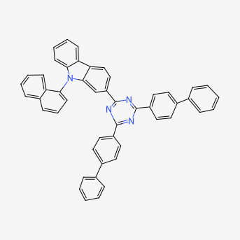 c1ccc(-c2ccc(-c3nc(-c4ccc(-c5ccccc5)cc4)nc(-c4ccc5c6ccccc6n(-c6cccc7ccccc67)c5c4)n3)cc2)cc1